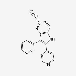 [C-]#[N+]c1ccc2[nH]c(-c3ccncc3)c(-c3ccccc3)c2n1